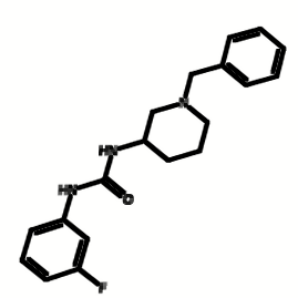 O=C(Nc1cccc(F)c1)NC1CCCN(Cc2ccccc2)C1